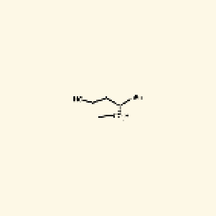 CC(=O)O.CCCCNCCO